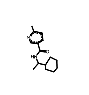 Cc1ccc(C(=O)NC(C)C2CCCCC2)cn1